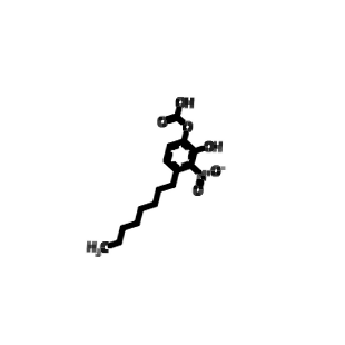 CCCCCCCCc1ccc(OC(=O)O)c(O)c1[N+](=O)[O-]